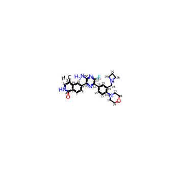 Cc1c[nH]c(=O)c2ccc(-c3nc(-c4ccc(N5CCOCC5)c(CN5CCC5)c4)c(F)nc3N)cc12